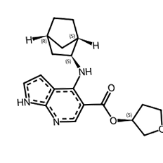 O=C(O[C@H]1CCOC1)c1cnc2[nH]ccc2c1N[C@H]1C[C@@H]2CC[C@H]1C2